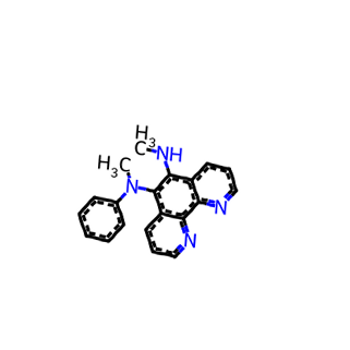 CNc1c(N(C)c2ccccc2)c2cccnc2c2ncccc12